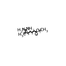 CCOC(=O)CCCCN(C)C(=N)N